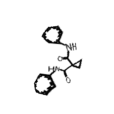 O=C(Nc1ccccc1)C1(C(=O)Nc2ccccc2)CC1